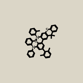 Cc1ccccc1N1B2c3ccccc3N(c3ccccc3)c3cc(-c4c(C)cccc4C)cc(c32)-c2cc3c(cc21)Sc1ccccc1C3(C)C